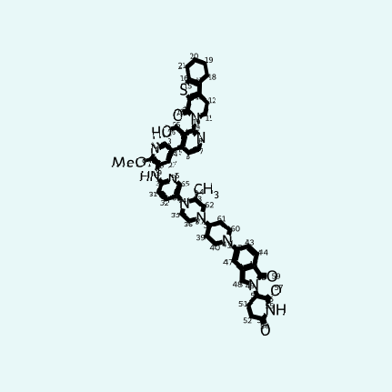 COc1ncc(-c2ccnc(N3CCc4c(sc5c4CCCC5)C3=O)c2CO)cc1Nc1ccc(N2CCN(C3CCN(c4ccc5c(c4)CN(C4CCC(=O)NC4=O)C5=O)CC3)C[C@@H]2C)cn1